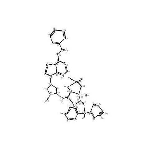 CC[C@H]1O[C@@H](n2cnc3c(NC(=O)c4ccccc4)ncnc32)CC1OP1O[C@H](C[Si](C)(c2ccccc2)c2ccccc2)[C@@H]2CC(C)(C)CN21